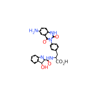 Nc1ccc2[nH]c(=O)n(-c3ccc(CC(NC(=O)C4=Nc5ccccc5C4O)C(=O)O)cc3)c(=O)c2c1